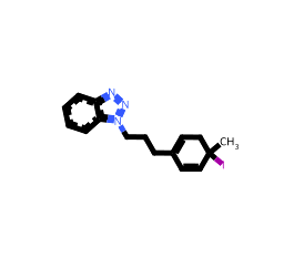 CC1(I)C=CC(CCCn2nnc3ccccc32)=CC1